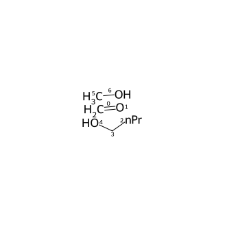 C=O.CCCCO.CO